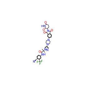 CC(C)(C(=O)Nc1ccc(C#N)c(C(F)(F)F)c1)n1cc(N2CCN(c3ccc4c(c3)C(=O)N(C3CCC(=O)NC3=O)C4=O)CC2)cn1